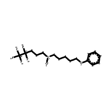 [O-][S+](CCCCCOc1cc[c]cc1)CCCC(F)(F)C(F)(F)F